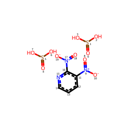 O=S(O)O.O=S(O)O.O=[N+]([O-])c1cccnc1[N+](=O)[O-]